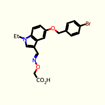 CCn1cc(C=NOCC(=O)O)c2cc(OCc3ccc(Br)cc3)ccc21